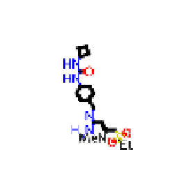 CCS(=O)(=O)C/C(=C/C(N)=N\Cc1ccc(NC(=O)NC2CCC2)cc1)NC